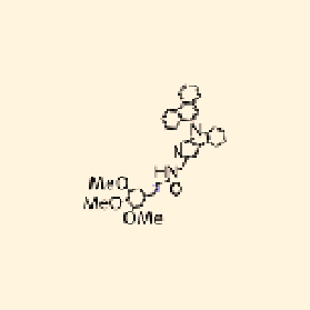 COc1cc(/C=C/C(=O)NCc2cc3c4ccccc4n(-c4cc5ccccc5c5ccccc45)c3cn2)cc(OC)c1OC